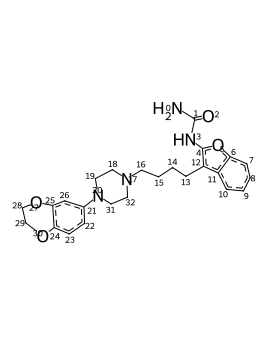 NC(=O)Nc1oc2ccccc2c1CCCCN1CCN(c2ccc3c(c2)OCCO3)CC1